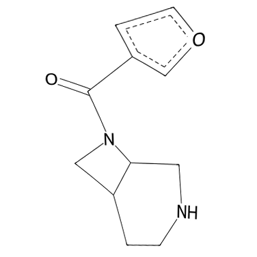 O=C(c1ccoc1)N1CC2CCNCC21